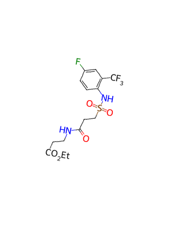 CCOC(=O)CCNC(=O)CCS(=O)(=O)Nc1ccc(F)cc1C(F)(F)F